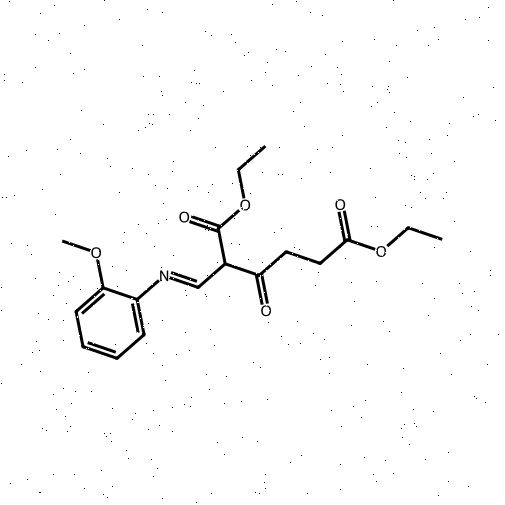 CCOC(=O)CCC(=O)C(C=Nc1ccccc1OC)C(=O)OCC